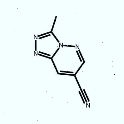 Cc1nnc2cc(C#N)cnn12